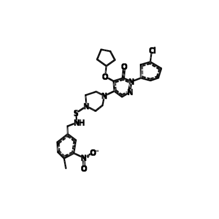 Cc1ccc(CNSN2CCN(c3cnn(-c4cccc(Cl)c4)c(=O)c3OC3CCCC3)CC2)cc1[N+](=O)[O-]